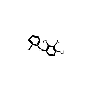 [CH2]c1ccccc1Oc1ccc(Cl)c(Cl)c1Cl